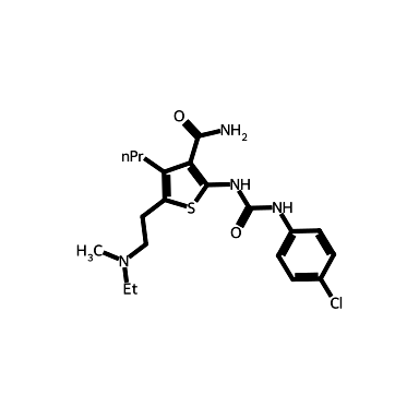 CCCc1c(CCN(C)CC)sc(NC(=O)Nc2ccc(Cl)cc2)c1C(N)=O